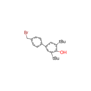 CC(C)(C)c1cc(-c2ccc(CBr)cc2)cc(C(C)(C)C)c1O